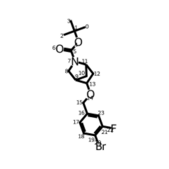 CC(C)(C)OC(=O)N1CC2CC1CC2OCc1ccc(Br)c(F)c1